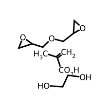 C(OCC1CO1)C1CO1.C=C(C)C(=O)O.OCCO